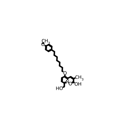 COc1ccc(CCCCCCCCOc2ccc(CO)nc2C=C(C)C(=O)O)cc1